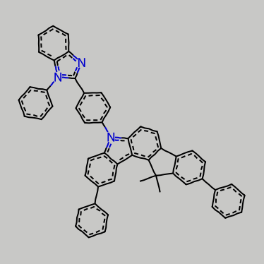 CC1(C)c2cc(-c3ccccc3)ccc2-c2ccc3c(c21)c1cc(-c2ccccc2)ccc1n3-c1ccc(-c2nc3ccccc3n2-c2ccccc2)cc1